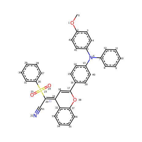 COc1ccc(N(c2ccccc2)c2ccc(C3=C/C(=C(/C#N)S(=O)(=O)c4ccccc4)c4ccccc4O3)cc2)cc1